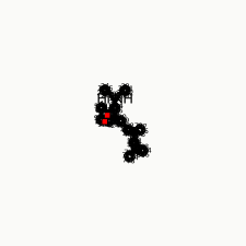 CN(c1ccccc1-c1ccccc1)c1cc(C(NCc2ccccc2)NCc2ccccc2)ccc1-n1c2ccccc2c2cc(-c3ccc4c(c3)c3c(n4-c4ccc5c(c4)c4ccccc4n5C4=CCCCC4)CCC=C3)ccc21